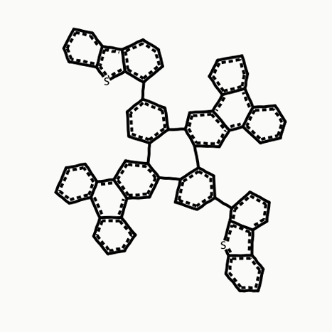 c1ccc2c(c1)sc1c(-c3ccc4c(c3)-c3cc5c6ccccc6c6ccccc6c5cc3-c3cc(-c5cccc6c5sc5ccccc56)ccc3-c3cc5c6ccccc6c6ccccc6c5cc3-4)cccc12